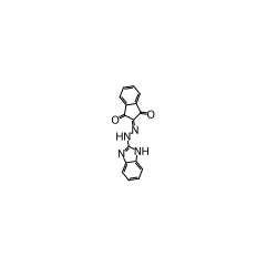 O=c1c(=NNc2nc3ccccc3[nH]2)c(=O)c2ccccc12